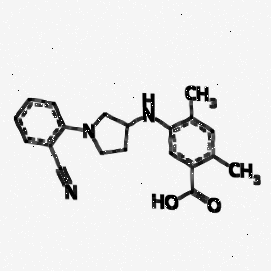 Cc1cc(C)c(C(=O)O)cc1NC1CCN(c2ccccc2C#N)C1